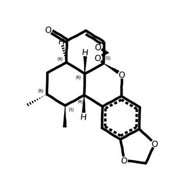 C[C@@H]1[C@H]2c3cc4c(cc3O[C@@]35OCOC3=CC(=O)[C@H](C[C@H]1C)[C@@H]25)OCO4